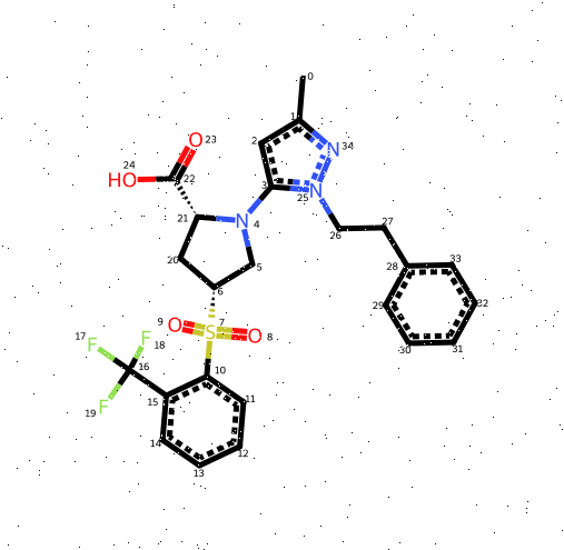 Cc1cc(N2C[C@H](S(=O)(=O)c3ccccc3C(F)(F)F)C[C@@H]2C(=O)O)n(CCc2ccccc2)n1